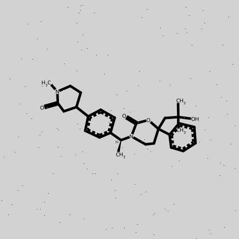 C[C@@H](c1ccc(C2CCN(C)C(=O)C2)cc1)N1CCC(CC(C)(C)O)(c2ccccc2)OC1=O